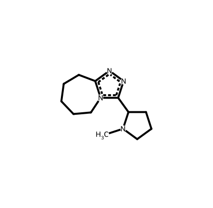 CN1CCCC1c1nnc2n1CCCCC2